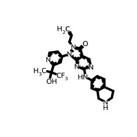 C=CCn1c(=O)c2cnc(Nc3ccc4c(c3)CNCC4)nc2n1-c1ccnc(C(C)(O)C(F)(F)F)c1